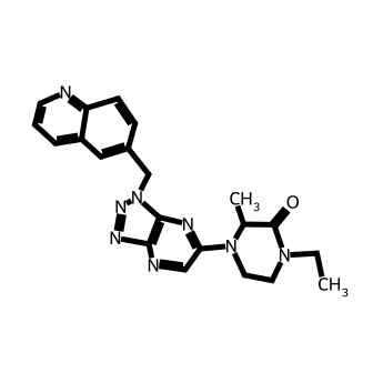 CCN1CCN(c2cnc3nnn(Cc4ccc5ncccc5c4)c3n2)C(C)C1=O